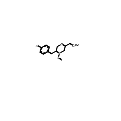 COCC1CN(SI)C(Cc2ccc(Cl)cc2)CO1